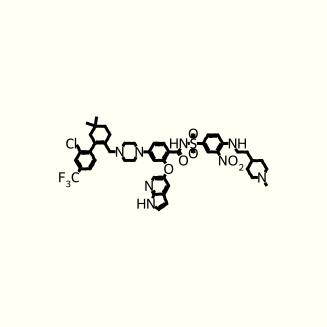 CN1CCC(CCNc2ccc(S(=O)(=O)NC(=O)c3ccc(N4CCN(CC5=C(c6ccc(C(F)(F)F)cc6Cl)CC(C)(C)CC5)CC4)cc3Oc3cnc4[nH]ccc4c3)cc2[N+](=O)[O-])CC1